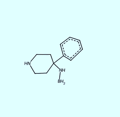 BNC1(c2ccccc2)CCNCC1